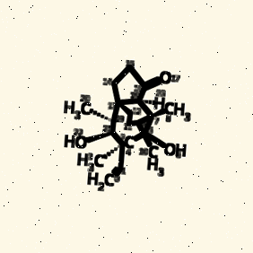 C=C[C@]1(C)CC(O)[C@]2(C)C(C)CC[C@]3(CCC(=O)[C@@H]23)[C@@H](C)[C@@H]1O